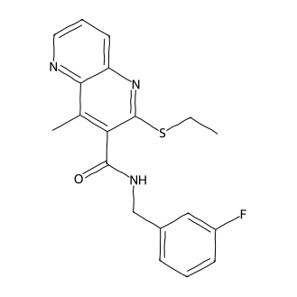 CCSc1nc2cccnc2c(C)c1C(=O)NCc1cccc(F)c1